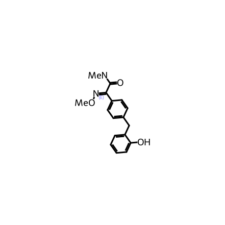 CNC(=O)/C(=N/OC)c1ccc(Cc2ccccc2O)cc1